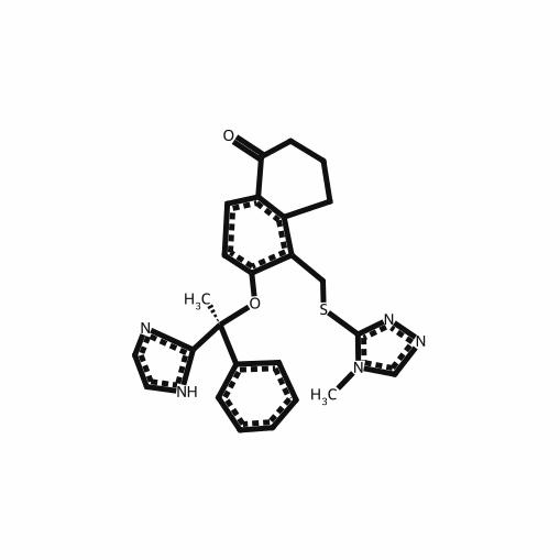 Cn1cnnc1SCc1c(O[C@@](C)(c2ccccc2)c2ncc[nH]2)ccc2c1CCCC2=O